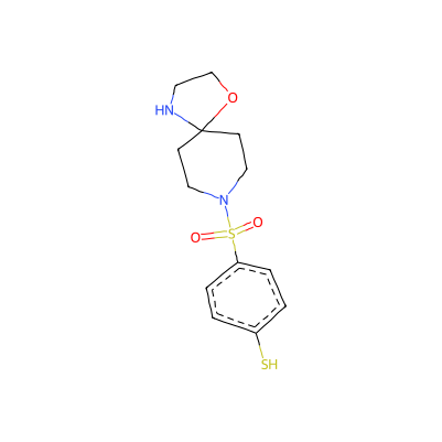 O=S(=O)(c1ccc(S)cc1)N1CCC2(CC1)NCCO2